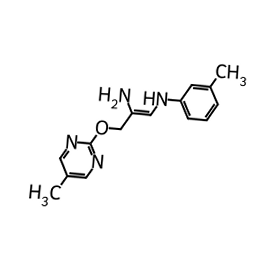 Cc1cnc(OC/C(N)=C/Nc2cccc(C)c2)nc1